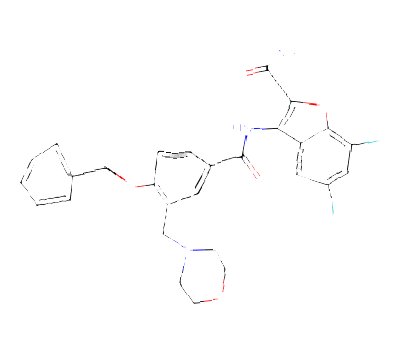 NC(=O)c1oc2c(F)cc(F)cc2c1NC(=O)c1ccc(OCc2ccccc2)c(CN2CCOCC2)c1